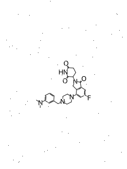 CN(C)c1cccc(CN2CCN(c3cc(F)cc4c3CN(C3CCC(=O)NC3=O)C4=O)CC2)c1